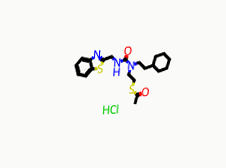 CC(=O)SCCN(CCC1CCCCC1)C(=O)NCc1nc2ccccc2s1.Cl